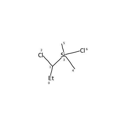 CCC(Cl)[Si](C)(C)Cl